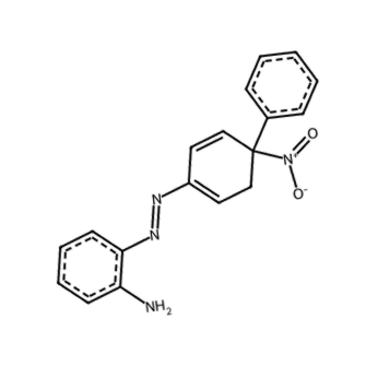 Nc1ccccc1N=NC1=CCC(c2ccccc2)([N+](=O)[O-])C=C1